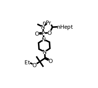 CCCCCCCC(CCC)OP(=O)(N(C)C)N1CCN(C(=O)C(C)(C)OCC)CC1